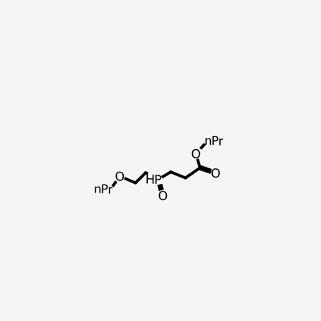 CCCOCC[PH](=O)CCC(=O)OCCC